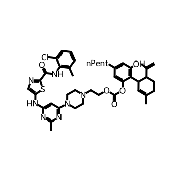 C=C(C)C1CCC(C)=CC1c1c(O)cc(CCCCC)cc1OC(=O)OCCN1CCN(c2cc(Nc3cnc(C(=O)Nc4c(C)cccc4Cl)s3)nc(C)n2)CC1